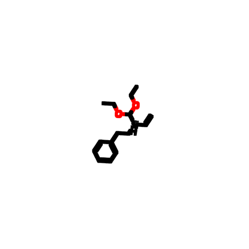 C=C[SiH](CCc1ccccc1)C(OCC)OCC